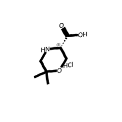 CC1(C)CN[C@H](C(=O)O)CO1.Cl